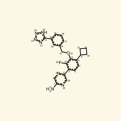 Nc1cnc(-c2ccc(C3CCC3)c(OCc3cccc(-c4nnn[nH]4)c3)c2F)cn1